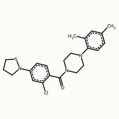 Cc1ccc(N2CCN(C(=O)c3ccc(N4CCCS4)cc3Cl)CC2)c(C)c1